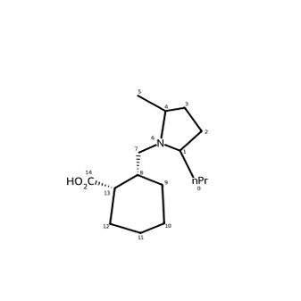 CCCC1CCC(C)N1C[C@@H]1CCCC[C@@H]1C(=O)O